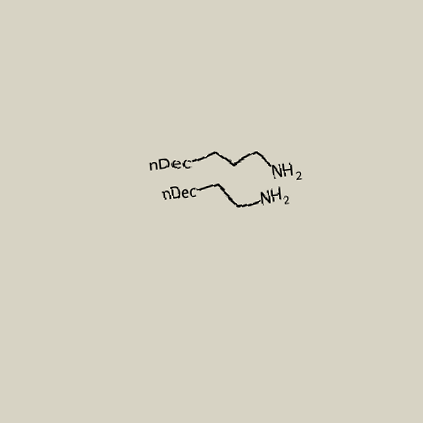 CCCCCCCCCCCCCN.CCCCCCCCCCCCN